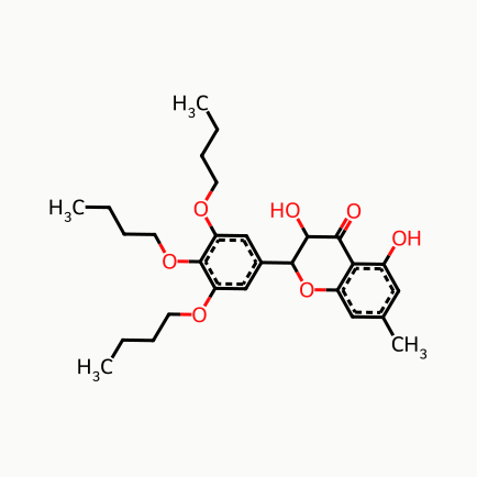 CCCCOc1cc(C2Oc3cc(C)cc(O)c3C(=O)C2O)cc(OCCCC)c1OCCCC